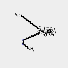 CCCCC/C=C\C/C=C\CCCCCCCCCCCC(=O)O[C@H](COC(=O)CCCCCCCCCCCCCCCCC)COP(=O)(O)OC1C(O)C(O)C(O)[C@@H](O)C1O